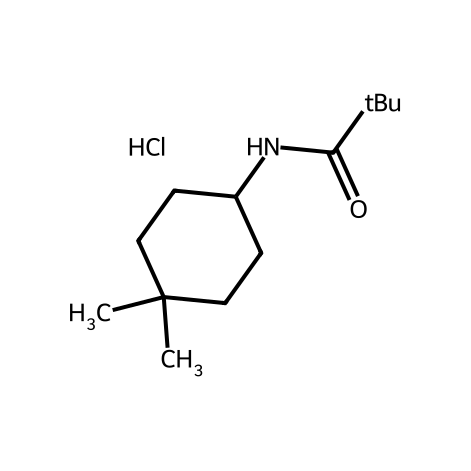 CC1(C)CCC(NC(=O)C(C)(C)C)CC1.Cl